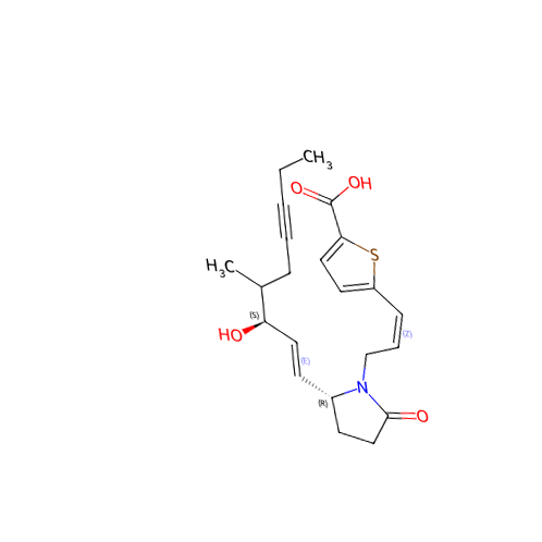 CCC#CCC(C)[C@H](O)/C=C/[C@H]1CCC(=O)N1C/C=C\c1ccc(C(=O)O)s1